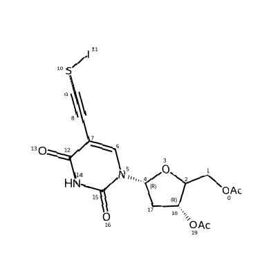 CC(=O)OCC1O[C@@H](n2cc(C#CSI)c(=O)[nH]c2=O)C[C@H]1OC(C)=O